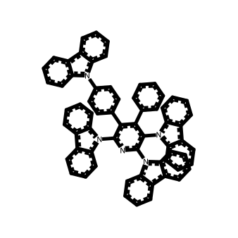 c1ccc(-c2c(-c3ccc(-n4c5ccccc5c5ccccc54)cc3)c(-n3c4ccccc4c4ccccc43)nc(-n3c4ccccc4c4ccccc43)c2-n2c3ccccc3c3ccccc32)cc1